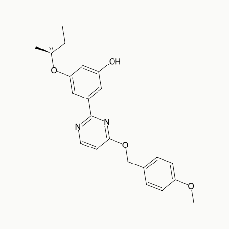 CC[C@H](C)Oc1cc(O)cc(-c2nccc(OCc3ccc(OC)cc3)n2)c1